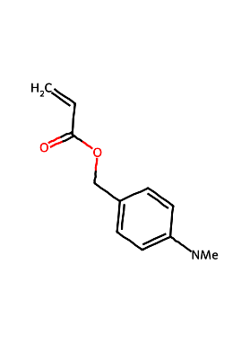 C=CC(=O)OCc1ccc(NC)cc1